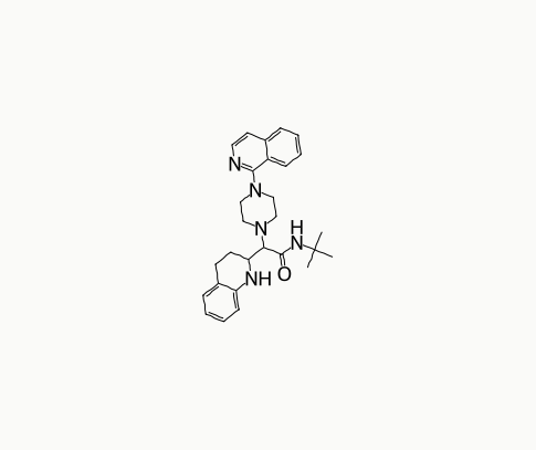 CC(C)(C)NC(=O)C(C1CCc2ccccc2N1)N1CCN(c2nccc3ccccc23)CC1